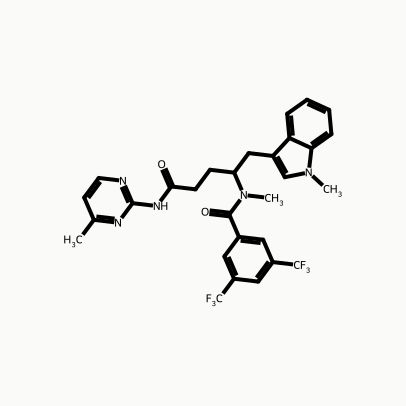 Cc1ccnc(NC(=O)CCC(Cc2cn(C)c3ccccc23)N(C)C(=O)c2cc(C(F)(F)F)cc(C(F)(F)F)c2)n1